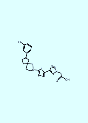 O=C(O)Cn1nnc(-c2cnc(N3CCC4(CCN(c5cccc(Cl)c5)C4)C3)s2)n1